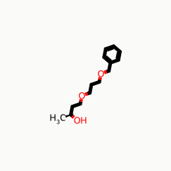 C[C@H](O)CCOCCCOCc1ccccc1